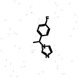 CC(c1ccc(F)cc1)n1ccnc1